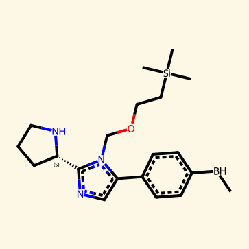 CBc1ccc(-c2cnc([C@@H]3CCCN3)n2COCC[Si](C)(C)C)cc1